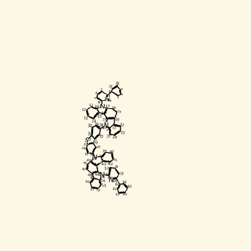 c1ccc(-c2cccc(-n3c4ccccc4c4c3ccc3c5ccccc5n(-c5ccc6sc7ccc(-n8c9ccccc9c9c8ccc8c%10ccccc%10n(-c%10cccc(-c%11ccccc%11)n%10)c89)cc7c6c5)c34)n2)cc1